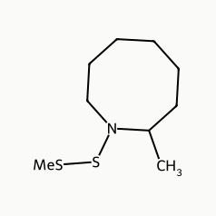 CSSN1CCCCCCC1C